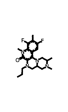 CCCN1CC2CN(C)C(C)CN2c2c1c(=O)n(C)c1c(F)c(C)c(F)cc21